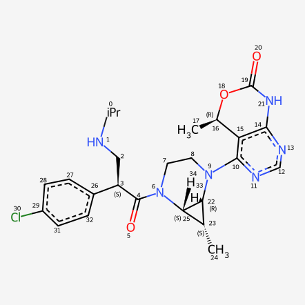 CC(C)NC[C@@H](C(=O)N1CCN(c2ncnc3c2[C@@H](C)OC(=O)N3)[C@@H]2[C@H](C)[C@@H]21)c1ccc(Cl)cc1